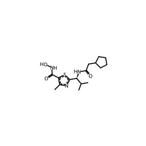 Cc1nc([C@@H](NC(=O)CC2CCCC2)C(C)C)sc1C(=O)NO